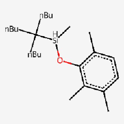 CCCCC(CCCC)(CCCC)[SiH](C)Oc1c(C)ccc(C)c1C